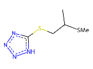 CS[C](C)CSc1nnn[nH]1